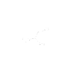 N[CH]([Au])CO